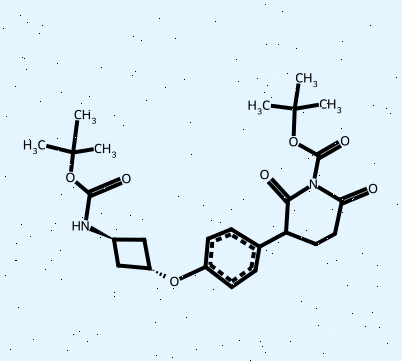 CC(C)(C)OC(=O)N[C@H]1C[C@H](Oc2ccc(C3CCC(=O)N(C(=O)OC(C)(C)C)C3=O)cc2)C1